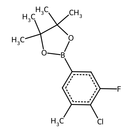 Cc1cc(B2OC(C)(C)C(C)(C)O2)cc(F)c1Cl